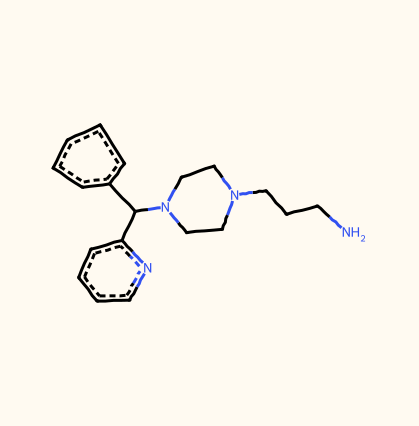 NCCCN1CCN(C(c2ccccc2)c2ccccn2)CC1